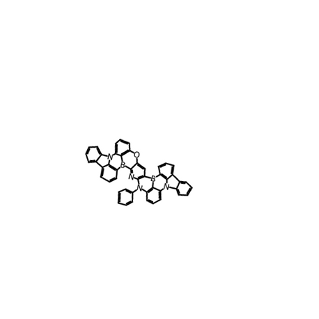 c1ccc(N2c3cccc4c3B(c3cc5c(nc32)B2c3c(cccc3-n3c6ccccc6c6cccc2c63)O5)c2cccc3c5ccccc5n-4c23)cc1